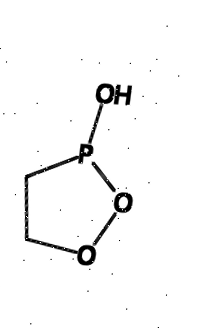 OP1CCOO1